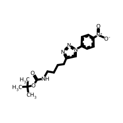 CC(C)(C)OC(=O)NCCCCc1cn(-c2ccc([N+](=O)[O-])cc2)nn1